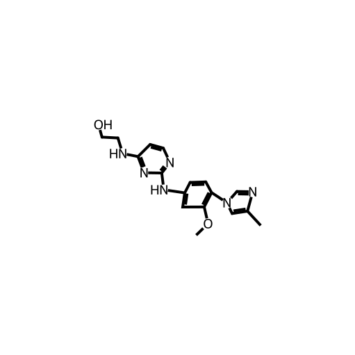 COc1cc(Nc2nccc(NCCO)n2)ccc1-n1cnc(C)c1